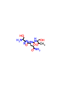 CC(=O)[C@H](CO)NC(=O)N[C@@H](CCC(N)=O)c1nc([C@@H](N)CO)no1